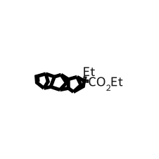 CCOC(=O)C1(CC)CC2CC1C1C3CC(C4C5C=CC(C5)C34)C21